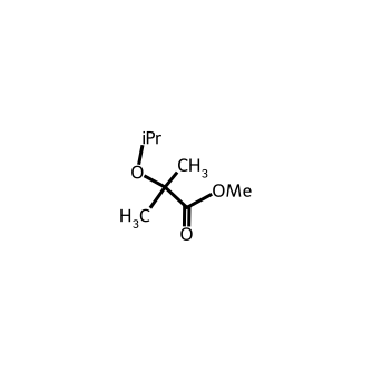 COC(=O)C(C)(C)OC(C)C